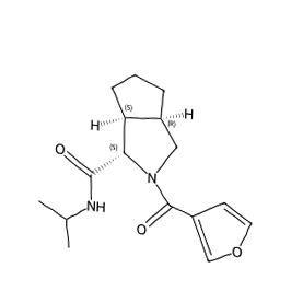 CC(C)NC(=O)[C@@H]1[C@H]2CCC[C@H]2CN1C(=O)c1ccoc1